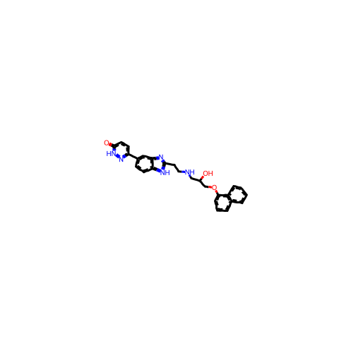 O=c1ccc(-c2ccc3[nH]c(CCNCC(O)COc4cccc5ccccc45)nc3c2)n[nH]1